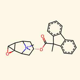 CC1(C(=O)O[C@H]2CC3C4C5O[C@@]54C(C2)[N+]3(C)C)c2ccccc2-c2ccccc21